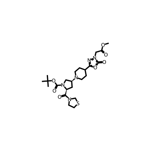 COC(=O)Cn1nc(C2CCN([C@H]3C[C@@H](C(=O)N4CCSC4)N(C(=O)OC(C)(C)C)C3)CC2)oc1=O